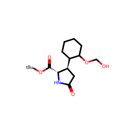 CC(C)(C)OC(=O)[C@H]1NC(=O)C[C@@H]1C1CCCCC1OCO